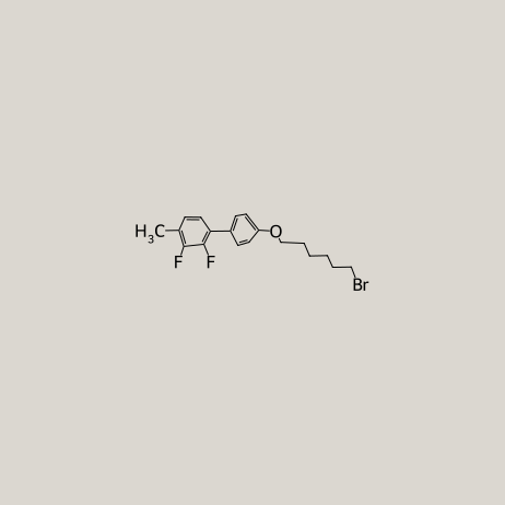 Cc1ccc(-c2ccc(OCCCCCCBr)cc2)c(F)c1F